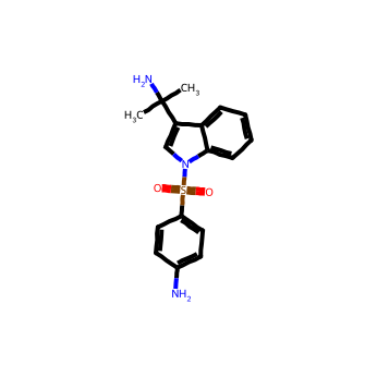 CC(C)(N)c1cn(S(=O)(=O)c2ccc(N)cc2)c2ccccc12